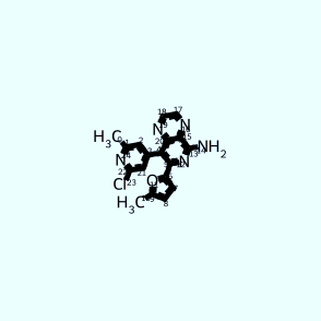 Cc1cc(-c2c(-c3ccc(C)o3)nc(N)c3nccnc23)cc(Cl)n1